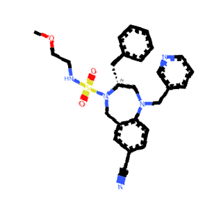 COCCNS(=O)(=O)N1Cc2cc(C#N)ccc2N(Cc2cccnc2)C[C@H]1Cc1ccccc1